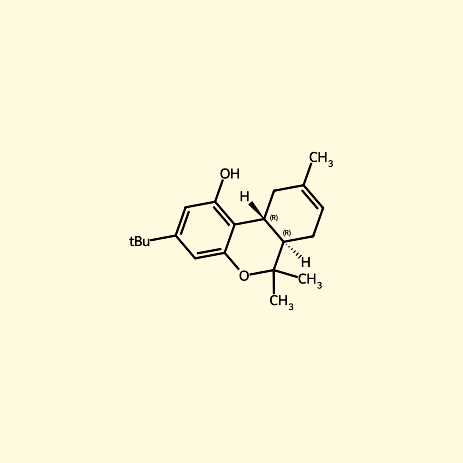 CC1=CC[C@@H]2[C@@H](C1)c1c(O)cc(C(C)(C)C)cc1OC2(C)C